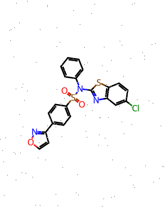 O=S(=O)(c1ccc(-c2ccon2)cc1)N(c1ccccc1)c1nc2cc(Cl)ccc2s1